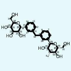 C[C@@H]1[C@H](O)[C@@H](c2cccc(Cc3cccc([C@H]4O[C@H](CO)[C@@H](O)[C@H](O)[C@@H]4O)c3)c2)O[C@H](CO)[C@H]1O